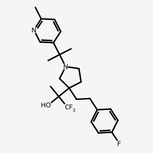 Cc1ccc(C(C)(C)N2CCC(CCc3ccc(F)cc3)(C(C)(O)C(F)(F)F)C2)cn1